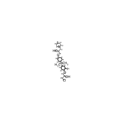 CC(C)(c1ccc(OCC(O)CN2CCSCC2)cc1)c1ccc(OCC(O)CCl)c(I)c1